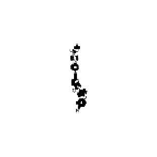 Cc1cc(O[C@H]2C(C)(C)[C@H](N3Cc4nc(C#C[C@H]5CC[C@H](N6CCN(C(=O)OC(C)(C)C)CC6)CC5)ccc4C3=O)C2(C)C)ccc1C#N